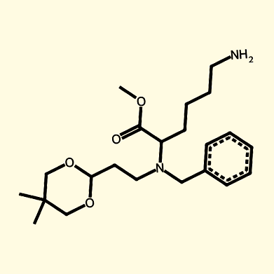 COC(=O)C(CCCCN)N(CCC1OCC(C)(C)CO1)Cc1ccccc1